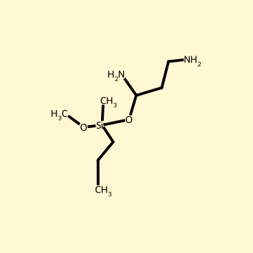 CCC[Si](C)(OC)OC(N)CCN